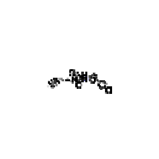 CN1CCN(CCCCN2C(=O)NC(/N=C/c3ccc(-c4ccc(Cl)cc4)o3)C2=O)CC1